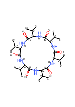 CC(C)C1NC(=O)C(C(C)C)NC(=O)C(C(C)C)NC(=O)C(C(C)C)NC(=O)C(C(C)C)NC(=O)C(C(C)C)NC1=O